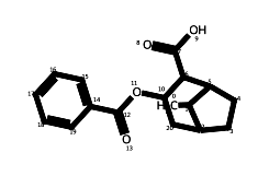 CC1C2CCC1C(C(=O)O)C(OC(=O)c1ccccc1)C2